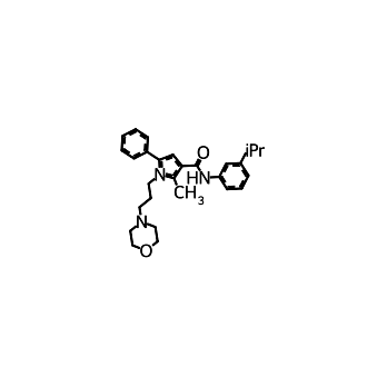 Cc1c(C(=O)Nc2cccc(C(C)C)c2)cc(-c2ccccc2)n1CCCN1CCOCC1